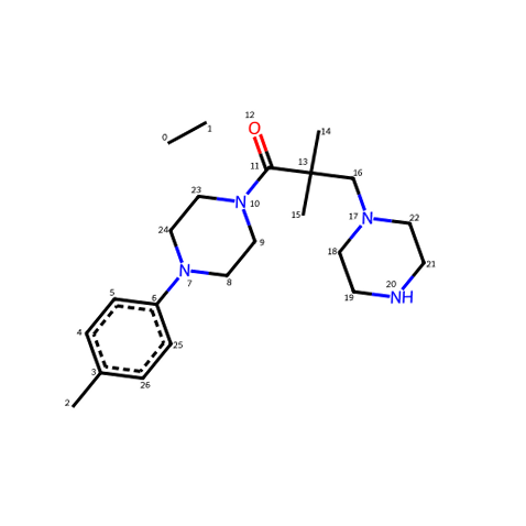 CC.Cc1ccc(N2CCN(C(=O)C(C)(C)CN3CCNCC3)CC2)cc1